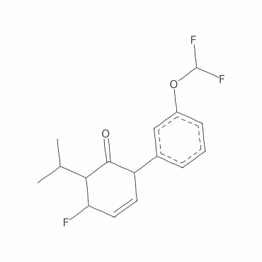 CC(C)C1C(=O)C(c2cccc(OC(F)F)c2)C=CC1F